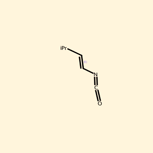 CC(C)/C=C/N=C=O